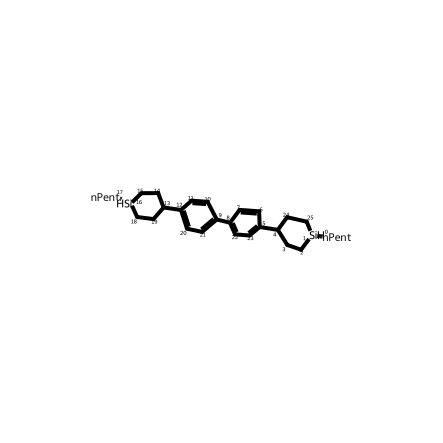 CCCCC[SiH]1CCC(c2ccc(-c3ccc(C4CC[SiH](CCCCC)CC4)cc3)cc2)CC1